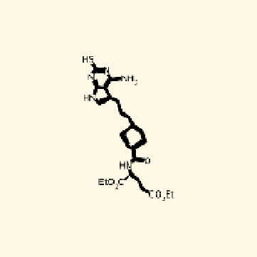 CCOC(=O)CC[C@H](NC(=O)c1ccc(CCCc2c[nH]c3nc(S)nc(N)c23)cc1)C(=O)OCC